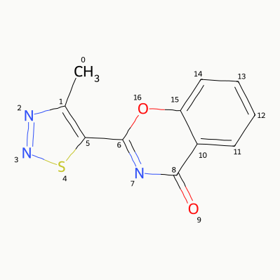 Cc1nnsc1-c1nc(=O)c2ccccc2o1